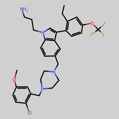 CCc1cc(OC(F)(F)F)ccc1-c1cn(CCCN)c2ccc(CN3CCN(Cc4cc(OC)ccc4Cl)CC3)cc12